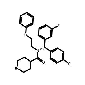 O=C(C1CCNCC1)N(CCOc1ccccc1)[C@@H](c1ccc(Cl)cc1)c1cccc(F)c1